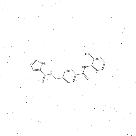 Nc1ccccc1NC(=O)c1ccc(CNC(=O)c2ccc[nH]2)cc1